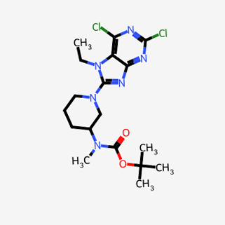 CCn1c(N2CCCC(N(C)C(=O)OC(C)(C)C)C2)nc2nc(Cl)nc(Cl)c21